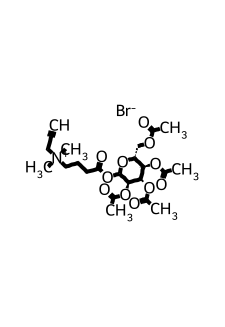 C#CC[N+](C)(C)CCCC(=O)OC1O[C@H](COC(C)=O)[C@@H](OC(C)=O)[C@H](OC(C)=O)[C@H]1OC(C)=O.[Br-]